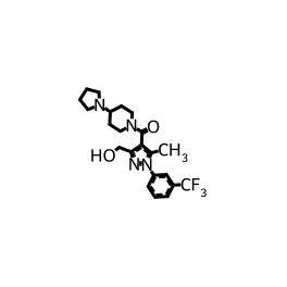 Cc1c(C(=O)N2CCC(N3CCCC3)CC2)c(CO)nn1-c1cccc(C(F)(F)F)c1